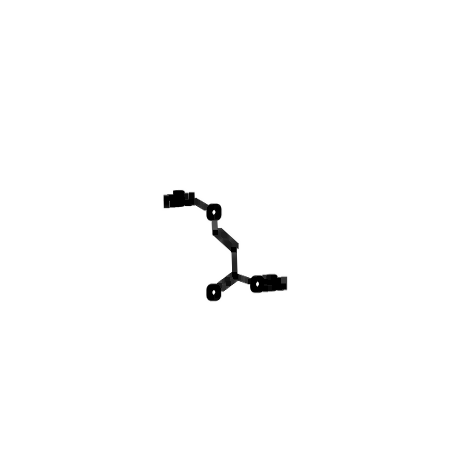 CCCCOC=CC(=O)OCC(C)C